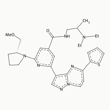 CCN(CC)C(C)CNC(=O)c1cc(-c2cnn3ccc(-c4cccs4)nc23)nc(N2CCC[C@@H]2COC)c1